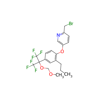 CCCc1cc(C(OCOC)(C(F)(F)F)C(F)(F)F)ccc1Oc1ccc(CBr)nc1